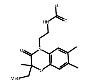 CCC(=O)NCCN1C(=O)C(C)(COC)Oc2cc(C)c(C)cc21